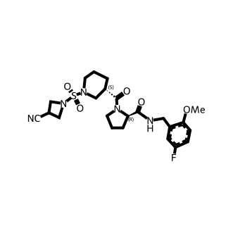 COc1ccc(F)cc1CNC(=O)[C@H]1CCCN1C(=O)[C@H]1CCCN(S(=O)(=O)N2CC(C#N)C2)C1